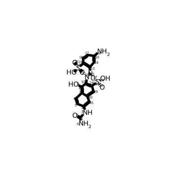 NC(=O)Nc1ccc2c(O)c(N=Nc3cc(N)ccc3S(=O)(=O)O)c(S(=O)(=O)O)cc2c1